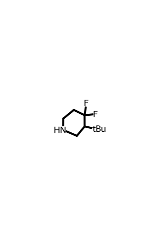 CC(C)(C)C1CNCCC1(F)F